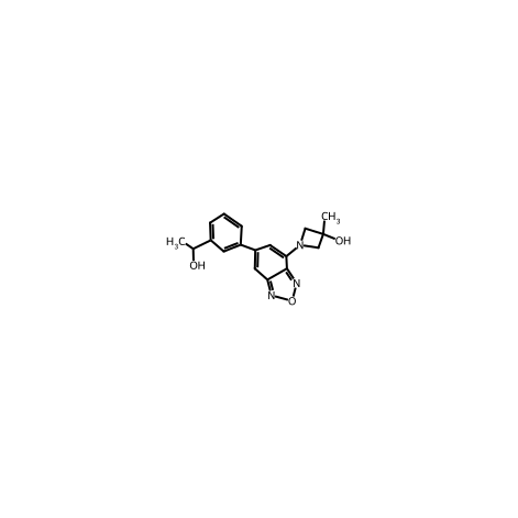 CC(O)c1cccc(-c2cc(N3CC(C)(O)C3)c3nonc3c2)c1